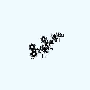 CC(NC(=O)OCC1c2ccccc2-c2ccccc21)C(=O)N[C@@H](CCCCNC(=O)OC(C)(C)C)C(=O)C(C#N)=S1CCCC1